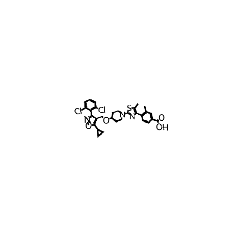 Cc1cc(C(=O)O)ccc1-c1nc(N2CCC(OCc3c(-c4c(Cl)cccc4Cl)noc3C3CC3)CC2)sc1C